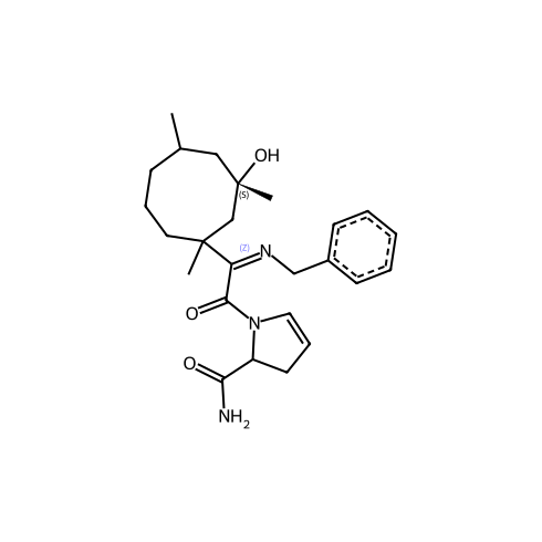 CC1CCCC(C)(/C(=N/Cc2ccccc2)C(=O)N2C=CCC2C(N)=O)C[C@@](C)(O)C1